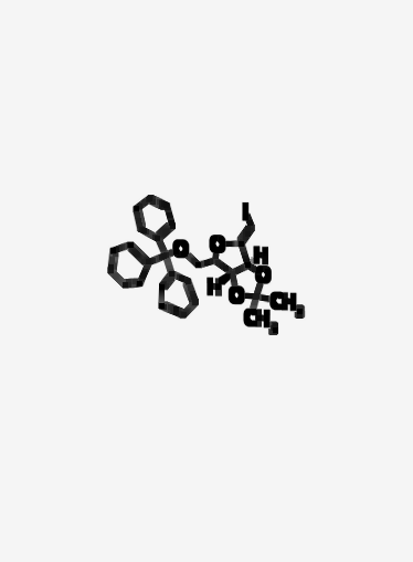 CC1(C)O[C@@H]2C(=CI)OC(COC(c3ccccc3)(c3ccccc3)c3ccccc3)[C@H]2O1